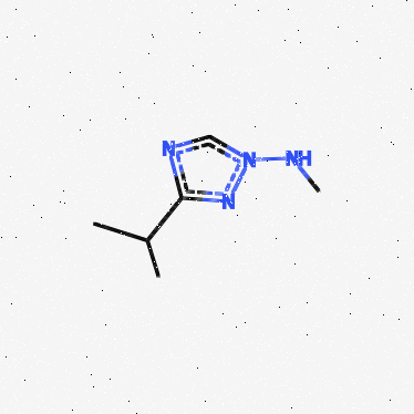 CNn1cnc(C(C)C)n1